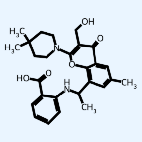 Cc1cc(C(C)Nc2ccccc2C(=O)O)c2oc(N3CCC(C)(C)CC3)c(CO)c(=O)c2c1